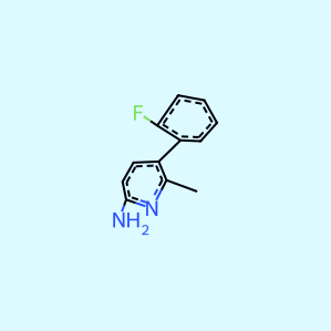 Cc1nc(N)ccc1-c1ccccc1F